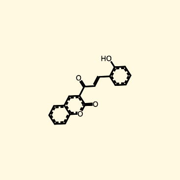 O=C(C=Cc1ccccc1O)c1cc2ccccc2oc1=O